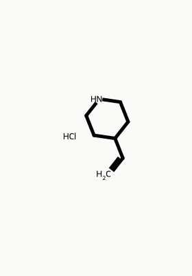 C=CC1CCNCC1.Cl